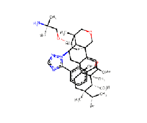 COC(=O)c1cccc(-c2ncnn2[C@@H]2C[C@@]34COC[C@](C)([C@@H]3CC[C@H]3C4=CC[C@@]4(C)[C@H](C(=O)O)[C@@](C)([C@H](C)C(C)C)CC[C@]34C)[C@H]2OC[C@](C)(N)C(C)(C)C)c1